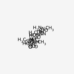 COc1nc(N)nc2c1ncn2[C@@H]1O[C@H](COP(=O)(N[C@@H](CC(C)C)C(=O)O)N[C@](Cc2ccccc2)(CC(C)C)C(=O)O)[C@@H](O)[C@@]1(C)O